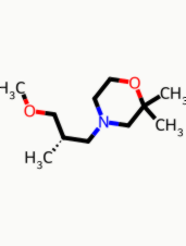 COC[C@@H](C)CN1CCOC(C)(C)C1